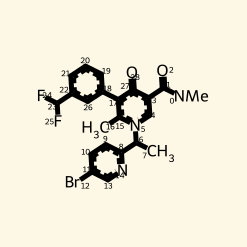 CNC(=O)c1cn(C(C)c2ccc(Br)cn2)c(C)c(-c2cccc(C(F)F)c2)c1=O